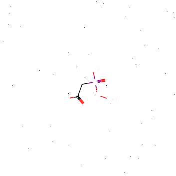 O=C([O-])CP(=O)(O)OO.[K+]